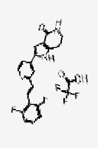 O=C(O)C(F)(F)F.O=C1NCCc2[nH]c(-c3ccnc(C=Cc4c(F)cccc4F)c3)cc21